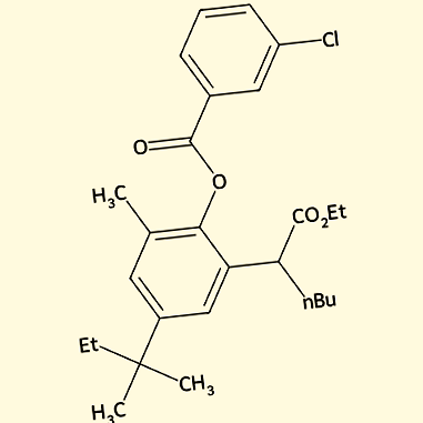 CCCCC(C(=O)OCC)c1cc(C(C)(C)CC)cc(C)c1OC(=O)c1cccc(Cl)c1